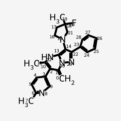 C=C1C(c2ccc(C)nc2)=C(C)Nc2c(N3CCC(C)(F)C3)c(-c3ccccc3)nn21